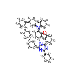 c1ccc(-c2cccc(-c3nc(-c4ccccc4)nc(-c4cccc5oc6c(-n7c8ccccc8c8ccc(-c9ccccc9)cc87)cccc6c45)n3)c2)cc1